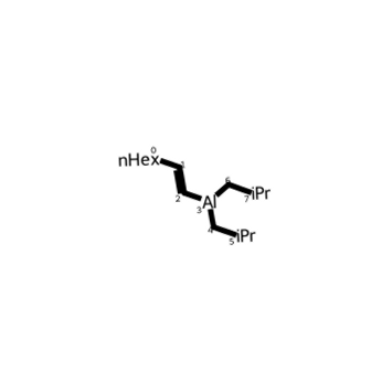 CCCCCC/C=[CH]/[Al]([CH2]C(C)C)[CH2]C(C)C